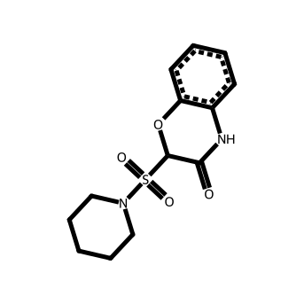 O=C1Nc2ccccc2OC1S(=O)(=O)N1CCCCC1